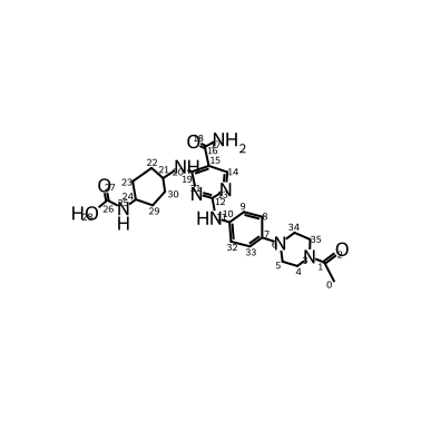 CC(=O)N1CCN(c2ccc(Nc3ncc(C(N)=O)c(NC4CCC(NC(=O)O)CC4)n3)cc2)CC1